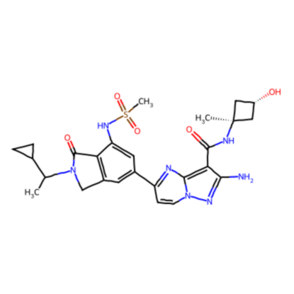 CC(C1CC1)N1Cc2cc(-c3ccn4nc(N)c(C(=O)N[C@]5(C)C[C@@H](O)C5)c4n3)cc(NS(C)(=O)=O)c2C1=O